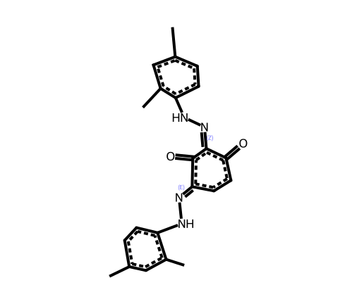 Cc1ccc(N/N=c2/c(=O)cc/c(=N\Nc3ccc(C)cc3C)c2=O)c(C)c1